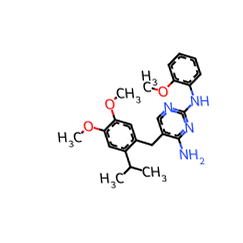 COc1ccccc1Nc1ncc(Cc2cc(OC)c(OC)cc2C(C)C)c(N)n1